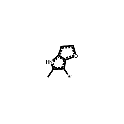 Cc1[nH]c2ccoc2c1Br